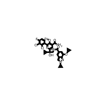 CCOc1c(C(N)=O)cc([C@@](O)(CNC(=O)c2cc(OC3CC3)c3nn(C4CC4)cc3c2)C2CC2)nc1-c1ccc(F)c(Cl)c1Cl